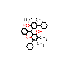 Cc1c(C2CCCCC2)cc(C(c2ccccc2O)c2cc(C3CCCCC3)c(C)c(C)c2O)c(O)c1C